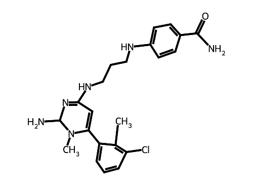 Cc1c(Cl)cccc1C1=CC(NCCCNc2ccc(C(N)=O)cc2)=NC(N)N1C